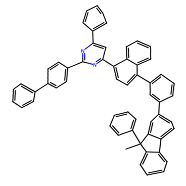 CC1(c2ccccc2)c2ccccc2-c2ccc(-c3cccc(-c4ccc(-c5cc(-c6ccccc6)nc(-c6ccc(-c7ccccc7)cc6)n5)c5ccccc45)c3)cc21